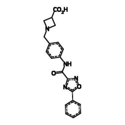 O=C(Nc1ccc(CN2CC(C(=O)O)C2)cc1)c1noc(-c2ccccc2)n1